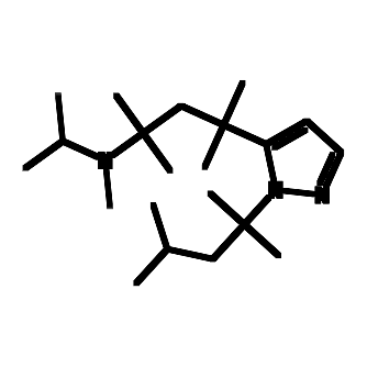 CC(C)CC(C)(C)n1nccc1C(C)(C)CC(C)(C)N(C)C(C)C